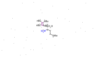 CCCC[PH](CCCC)(CCCC)CCCC.CSCC[C@H](N)C(=O)O